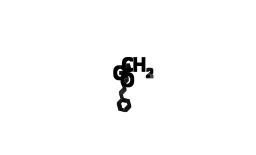 C=CC(=O)OC/C=C/c1ccccc1